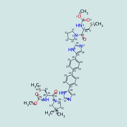 COC(=O)N[C@@H](CSC)C(=O)N1CCC[C@H]1c1ncc(-c2ccc(-c3ccc(-c4cnc([C@@H]5C[Si](C)(C)CN5C(=O)[C@H](CSC)NC(=O)OC)[nH]4)cc3)cc2)[nH]1